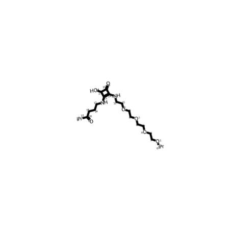 CC(C)OCCOCCOCCOCCNC1=C(NCCCC(=O)C(C)C)C(O)C1=O